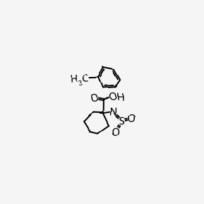 Cc1ccccc1.O=C(O)C1(N=S(=O)=O)CCCCC1